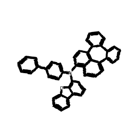 c1ccc(-c2ccc(N(c3ccc4c5c(cccc35)-c3ccccc3-c3ccccc3-4)c3cccc4c3oc3ccccc34)cc2)cc1